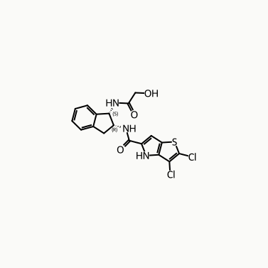 O=C(CO)N[C@H]1c2ccccc2C[C@H]1NC(=O)c1cc2sc(Cl)c(Cl)c2[nH]1